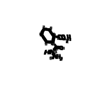 NNC(=O)[C@@H]1CCCC[C@H]1C(=O)O